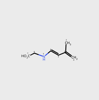 C=C(C)C=CNCC(=O)O